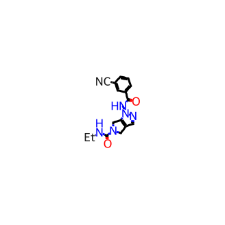 CCNC(=O)N1Cc2cnn(NC(=O)c3cccc(C#N)c3)c2C1